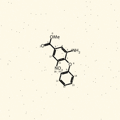 COC(=O)c1cc(N)c(Oc2ccccc2)c([N+](=O)[O-])c1